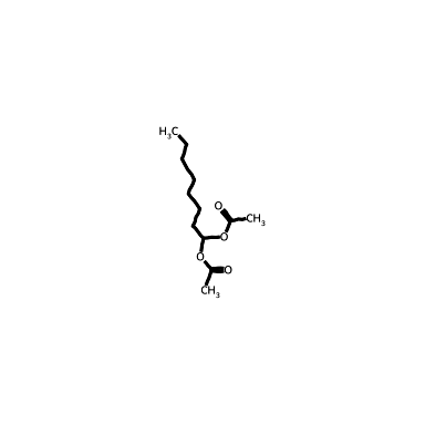 CCCCCCCC(OC(C)=O)OC(C)=O